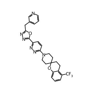 FC(F)(F)c1cccc2c1CCC1(CCN(c3ccc(-c4nnc(Cc5cccnc5)o4)nn3)CC1)O2